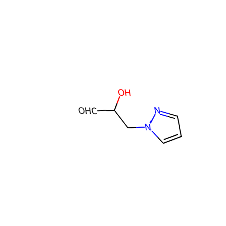 O=CC(O)Cn1cccn1